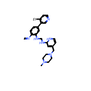 C=Nc1ccc(-c2cnccc2CC)cc1NCNC1C=C(CN2CCN(C)CC2)C=CN1